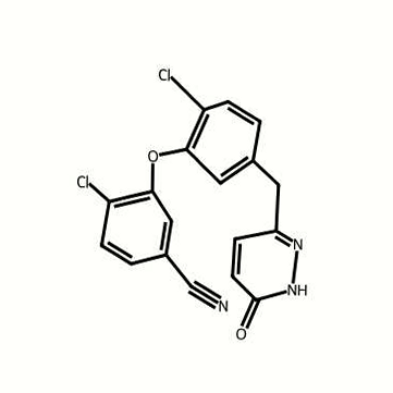 N#Cc1ccc(Cl)c(Oc2cc(Cc3ccc(=O)[nH]n3)ccc2Cl)c1